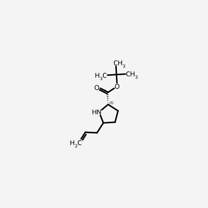 C=CCC1CC[C@@H](C(=O)OC(C)(C)C)N1